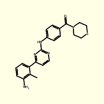 Cc1c(N)cccc1-c1ccnc(Nc2ccc(C(=O)N3CCSCC3)cc2)n1